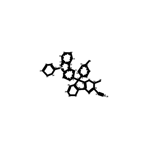 Cc1ccc(C2(c3ccc4c(c3)c3ccccc3n4C3=CC=CCC3)C3=C(CCC=C3)C3=C2CC(C)C(C#N)=C3)cc1